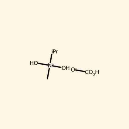 CC(C)[N+](C)(O)O.O=C([O-])O